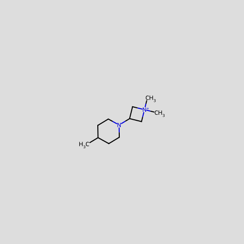 CC1CCN(C2C[N+](C)(C)C2)CC1